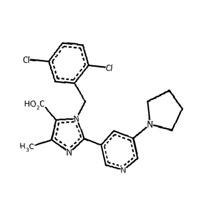 Cc1nc(-c2cncc(N3CCCC3)c2)n(Cc2cc(Cl)ccc2Cl)c1C(=O)O